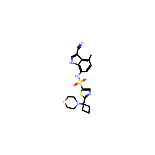 Cc1ccc(NS(=O)(=O)c2cnc(C3(N4CCOCC4)CCC3)s2)c2[nH]cc(C#N)c12